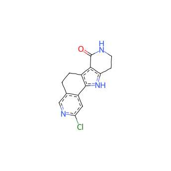 O=C1NCCc2[nH]c3c(c21)CCc1cnc(Cl)cc1-3